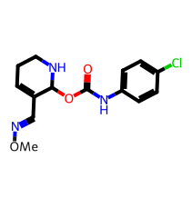 CON=CC1=CCCNC1OC(=O)Nc1ccc(Cl)cc1